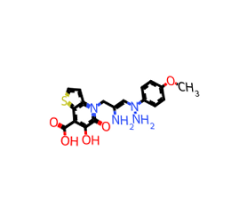 COc1ccc(N(N)/C=C(\N)Cn2c(=O)c(O)c(C(=O)O)c3sccc32)cc1